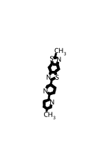 Cc1ccc(-c2ccc(-c3nc4cc5sc(C)nc5cc4s3)cn2)nc1